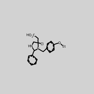 CCOc1ccc(CN2C(c3ccccc3)NCC2(Cl)CC(=O)O)cc1